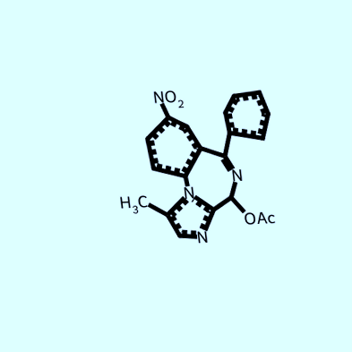 CC(=O)OC1N=C(c2ccccc2)c2cc([N+](=O)[O-])ccc2-n2c(C)cnc21